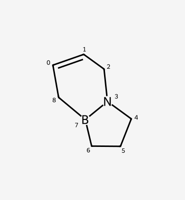 C1=CCN2CCCB2C1